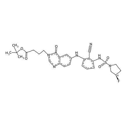 CC(C)(C)OC(=O)CCCn1cnc2ccc(Nc3cccc(NS(=O)(=O)N4CC[C@@H](F)C4)c3C#N)cc2c1=O